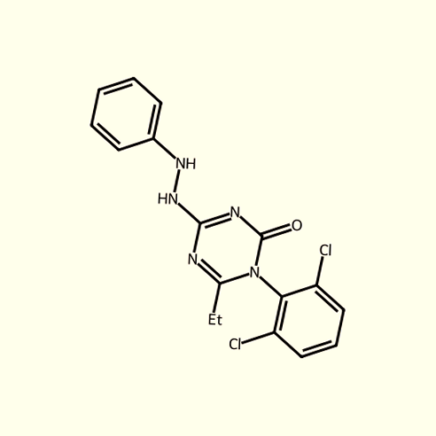 CCc1nc(NNc2ccccc2)nc(=O)n1-c1c(Cl)cccc1Cl